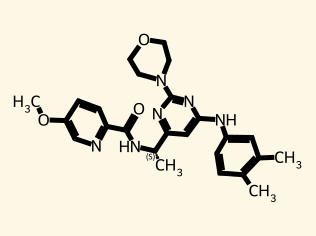 COc1ccc(C(=O)N[C@@H](C)c2cc(Nc3ccc(C)c(C)c3)nc(N3CCOCC3)n2)nc1